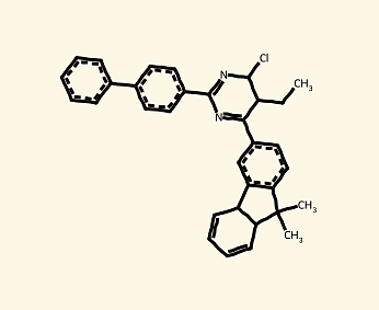 CCC1C(c2ccc3c(c2)C2C=CC=CC2C3(C)C)=NC(c2ccc(-c3ccccc3)cc2)=NC1Cl